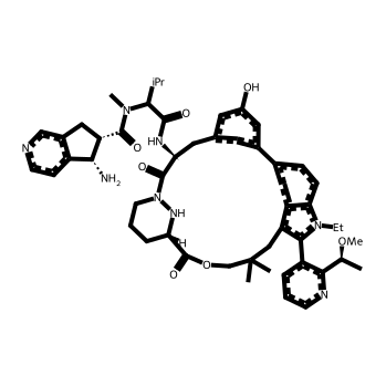 CCn1c(-c2cccnc2[C@H](C)OC)c2c3cc(ccc31)-c1cc(O)cc(c1)C[C@H](NC(=O)C(C(C)C)N(C)C(=O)[C@H]1Cc3cnccc3[C@H]1N)C(=O)N1CCC[C@H](N1)C(=O)OCC(C)(C)C2